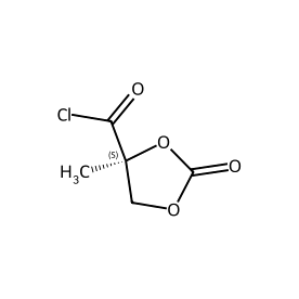 C[C@@]1(C(=O)Cl)COC(=O)O1